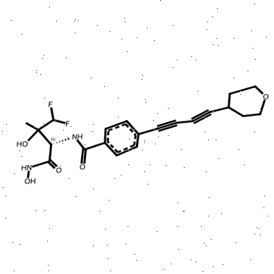 CC(O)(C(F)F)[C@H](NC(=O)c1ccc(C#CC#CC2CCOCC2)cc1)C(=O)NO